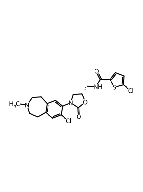 CN1CCc2cc(Cl)c(N3C[C@H](CNC(=O)c4ccc(Cl)s4)OC3=O)cc2CC1